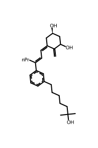 C=C1/C(=C\C=C(/CCC)c2cccc(CCCCCC(C)(C)O)c2)C[C@@H](O)CC1O